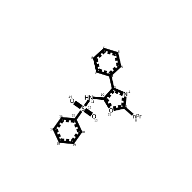 CCCc1nc(-c2ccccc2)c(NS(=O)(=O)c2ccccc2)o1